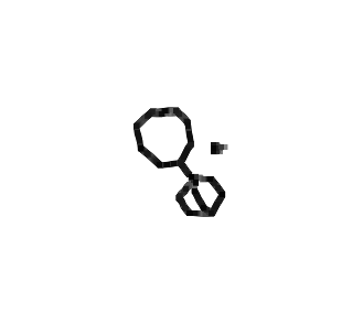 C1=C\CCC([N+]23CCC(CC2)CC3)CCC/1.[Br-]